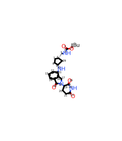 CC(C)(C)OC(=O)NC[C@H]1CC[C@@H](Nc2cccc3c2CN(C2CCC(=O)NC2=O)C3=O)C1